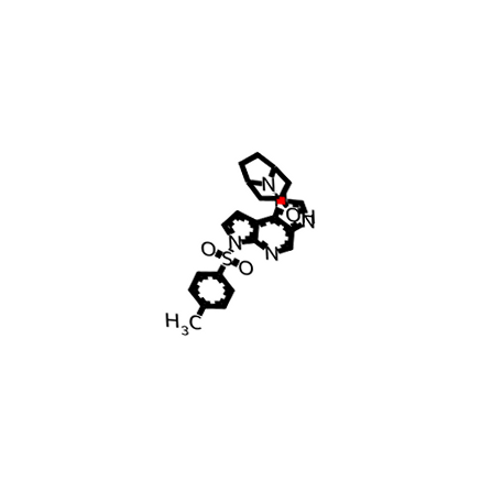 Cc1ccc(S(=O)(=O)n2ccc3c4c(cnc32)ncn4N2C3CCC2CC(O)C3)cc1